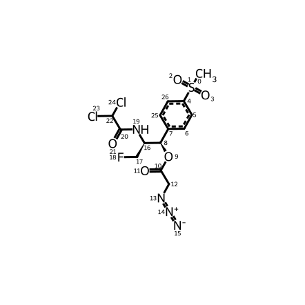 CS(=O)(=O)c1ccc([C@@H](OC(=O)CN=[N+]=[N-])[C@@H](CF)NC(=O)C(Cl)Cl)cc1